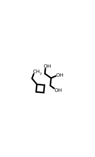 CCC1CCC1.OCC(O)CO